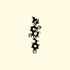 Cc1cn(-c2ccc3n(c2=O)CCN(CCc2ccc(Cl)cc2)C3=O)cn1